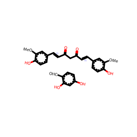 COc1cc(/C=C/C(=O)CC(=O)/C=C/c2ccc(O)c(OC)c2)ccc1O.O=Cc1ccc(O)cc1O